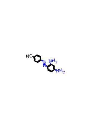 N#Cc1ccc(/N=N/c2ccc(N)cc2N)cc1